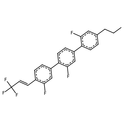 CCCc1ccc(-c2ccc(-c3ccc(/C=C/C(F)(F)F)c(F)c3)c(F)c2)c(F)c1